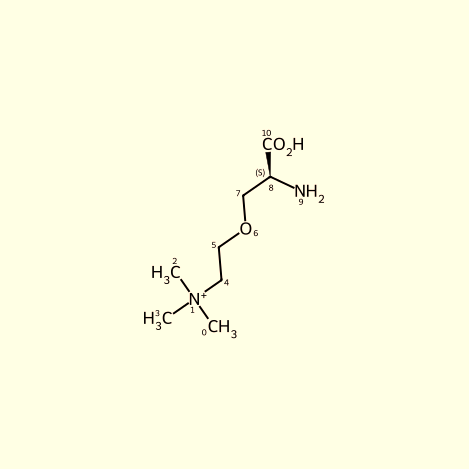 C[N+](C)(C)CCOC[C@H](N)C(=O)O